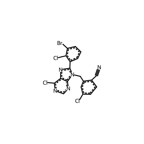 N#Cc1ccc(Cl)cc1Cn1c(-c2cccc(Br)c2Cl)nc2c(Cl)ncnc21